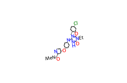 CCn1c(=O)[nH]/c(=N\c2ccc(Oc3ccnc(C(=O)NC)c3)cc2)n(Cc2ccc(Cl)cc2)c1=O